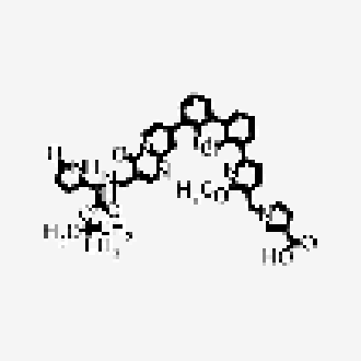 COc1nc(-c2cccc(-c3cccc(-c4ccn5c(=O)c(CNC(C(=O)OC(C)(C)C)C6CCC(=O)N6)cnc5c4)c3Cl)c2Cl)ccc1CN1CCC(C(=O)O)C1